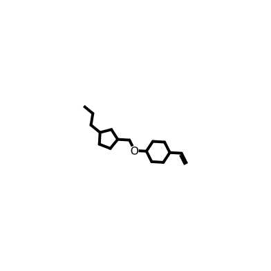 C=CC1CCC(OCC2CCC(CCC)C2)CC1